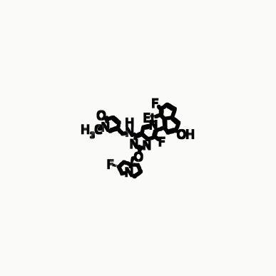 CCc1c(F)ccc2cc(O)cc(-c3ncc4c(NCc5ccc(=O)n(C)c5)nc(OC[C@@]56CCCN5C[C@H](F)C6)nc4c3F)c12